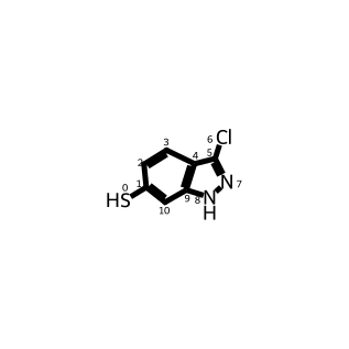 Sc1ccc2c(Cl)n[nH]c2c1